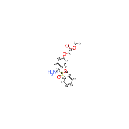 CCOC(=O)COc1ccc(C(N)S(=O)(=O)c2ccccc2)cc1